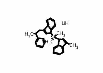 CC1=C[C]([Si](C)(C)C2C=C(CC(C)c3ccccc3)c3ccccc32)c2ccccc21.[LiH]